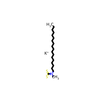 CCCCCCCCCCCCCCCCCCN(C)C(=S)[S-].[K+]